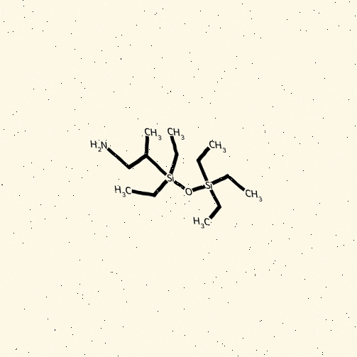 CC[Si](CC)(CC)O[Si](CC)(CC)C(C)CN